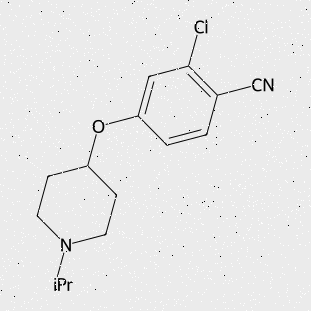 CC(C)N1CCC(Oc2ccc(C#N)c(Cl)c2)CC1